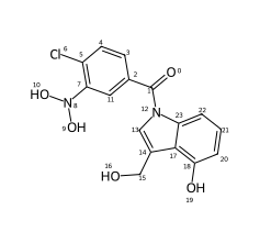 O=C(c1ccc(Cl)c(N(O)O)c1)n1cc(CO)c2c(O)cccc21